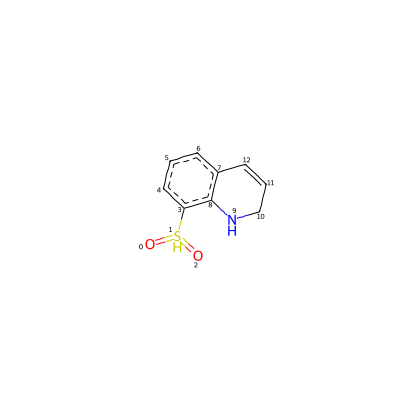 O=[SH](=O)c1cccc2c1NCC=C2